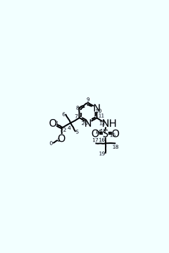 COC(=O)C(C)(C)c1ccnc(NS(=O)(=O)C(C)(C)C)n1